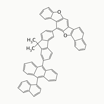 CC1(C)c2ccc(-c3c4oc5c6ccccc6ccc5c4cc4oc5ccccc5c34)cc2-c2ccc(-c3c4ccccc4c(-c4cccc5ccccc45)c4ccccc34)cc21